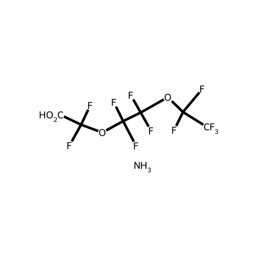 N.O=C(O)C(F)(F)OC(F)(F)C(F)(F)OC(F)(F)C(F)(F)F